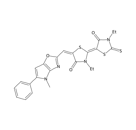 CCN1C(=O)/C(=c2\s/c(=C/c3nc4c(cc(-c5ccccc5)n4C)o3)c(=O)n2CC)SC1=S